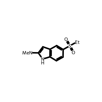 CCS(=O)(=O)c1ccc2[nH]c(NC)cc2c1